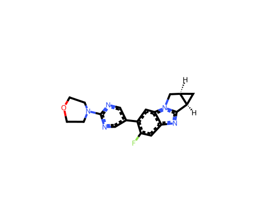 Fc1cc2nc3n(c2cc1-c1cnc(N2CCOCC2)nc1)C[C@H]1C[C@@H]31